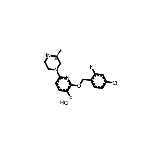 C[C@H]1CN(c2ccc(F)c(OCc3ccc(Cl)cc3F)n2)CCN1.Cl